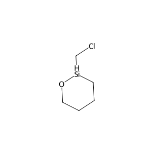 ClC[SiH]1CCCCO1